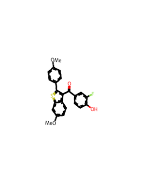 COc1ccc(-c2sc3cc(OC)ccc3c2C(=O)c2ccc(O)c(F)c2)cc1